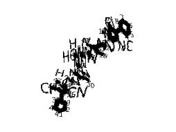 [C-]#[N+]c1c(-c2ccccc2)c(Cl)n(C)c1N=Nc1c(C)nn(-c2nc(O)nc(-n3nc(C)c(N=Nc4c(C#N)c(-c5ccccc5)c(Cl)n4C)c3N)n2)c1N